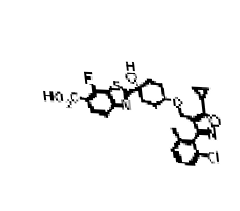 Cc1cccc(Cl)c1-c1noc(C2CC2)c1CO[C@H]1CC[C@](O)(c2nc3ccc(C(=O)O)c(F)c3s2)CC1